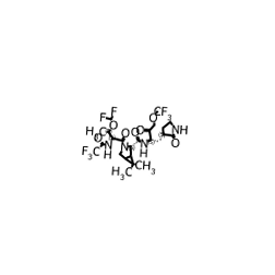 C[C@@H](OC(F)F)[C@H](NC(=O)C(F)(F)F)C(=O)N1CC2C([C@H]1C(=O)N[C@@H](C[C@@H]1CCNC1=O)C(=O)COC(F)(F)F)C2(C)C